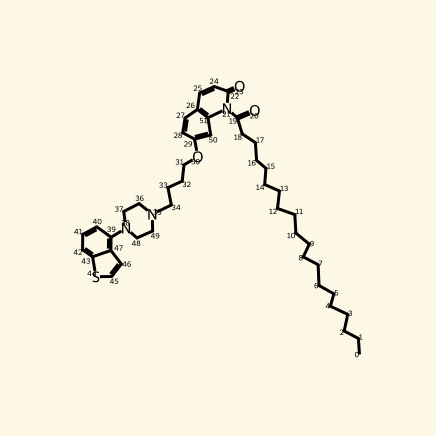 CCCCCCCCCCCCCCCCCCCC(=O)n1c(=O)ccc2ccc(OCCCCN3CCN(c4cccc5sccc45)CC3)cc21